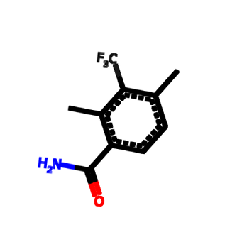 Cc1ccc(C(N)=O)c(C)c1C(F)(F)F